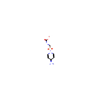 C[N+](C)=c1ccn(S(=O)(=O)CNC(=O)OC(C)(C)C)cc1